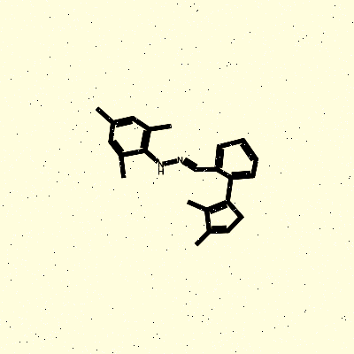 CC1=CCC(c2ccccc2C=NNc2c(C)cc(C)cc2C)=C1C